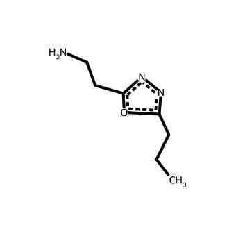 CCCc1nnc(CCN)o1